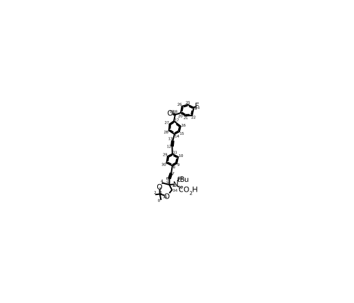 CC1(C)OCC(C#Cc2ccc(C#Cc3ccc(C(=O)c4ccc(F)cc4)cc3)cc2)(N(C(=O)O)C(C)(C)C)CO1